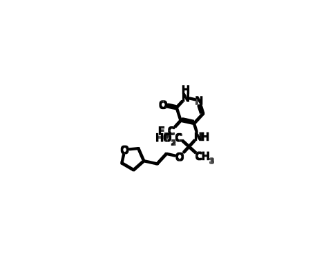 CC(Nc1cn[nH]c(=O)c1C(F)(F)F)(OCCC1CCOC1)C(=O)O